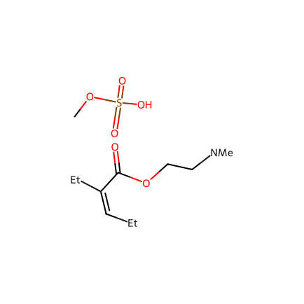 CCC=C(CC)C(=O)OCCNC.COS(=O)(=O)O